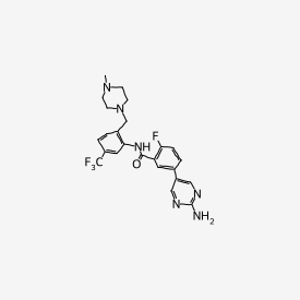 CN1CCN(Cc2ccc(C(F)(F)F)cc2NC(=O)c2cc(-c3cnc(N)nc3)ccc2F)CC1